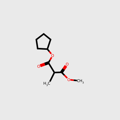 COC(=O)C(C)C(=O)OC1CCCC1